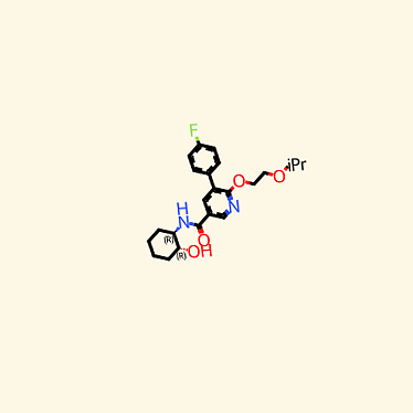 CC(C)OCCOc1ncc(C(=O)N[C@@H]2CCCC[C@H]2O)cc1-c1ccc(F)cc1